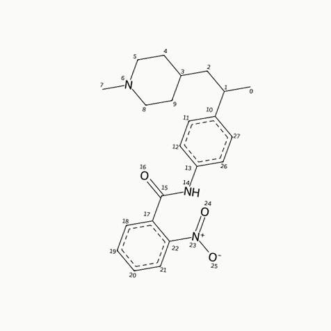 CC(CC1CCN(C)CC1)c1ccc(NC(=O)c2ccccc2[N+](=O)[O-])cc1